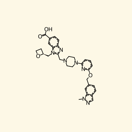 Cn1ncc2ccc(COc3cccc(N4CCN(Cc5nc6ccc(C(=O)O)cc6n5C[C@@H]5CCO5)CC4)n3)cc21